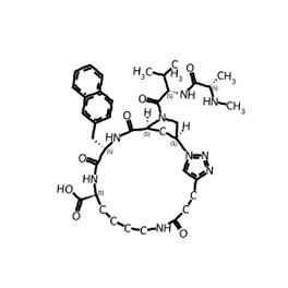 CN[C@@H](C)C(=O)N[C@H](C(=O)N1C[C@@H]2C[C@H]1C(=O)N[C@@H](Cc1ccc3ccccc3c1)C(=O)N[C@H](C(=O)O)CCCCNC(=O)CCc1cn2nn1)C(C)C